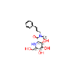 CCN(CC=Cc1ccccc1)C(=O)[C@H]1N[C@H](CO)[C@@H](O)[C@H](O)[C@@H]1O